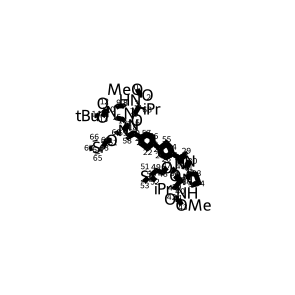 COC(=O)N[C@H](C(=O)N1CCN(C(=O)OC(C)(C)C)C[C@H]1c1nc(-c2ccc(-c3ccc(-c4cnc([C@@H]5CCCN5C(=O)[C@@H](NC(=O)OC)C(C)C)n4COCC[Si](C)(C)C)cc3)cc2)cn1COCC[Si](C)(C)C)C(C)C